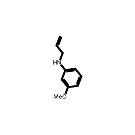 C=CCNc1cccc(OC)c1